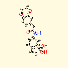 O=C(Cc1ccc2c(c1)OCCO2)Nc1ccc2c(c1)S(O)(O)C=C2